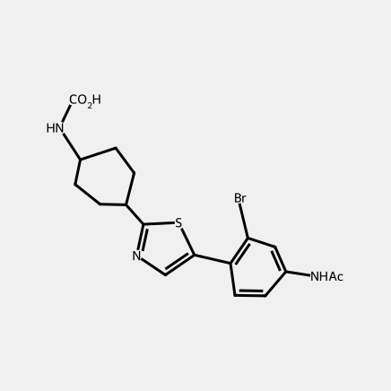 CC(=O)Nc1ccc(-c2cnc(C3CCC(NC(=O)O)CC3)s2)c(Br)c1